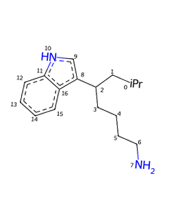 CC(C)CC(CCCCN)c1c[nH]c2ccccc12